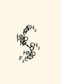 Cc1ccc(C(=O)Nc2cc(C(F)(F)F)ccn2)cc1C#Cc1cnc(NC(=O)NCCN2CCN(C)CC2)s1